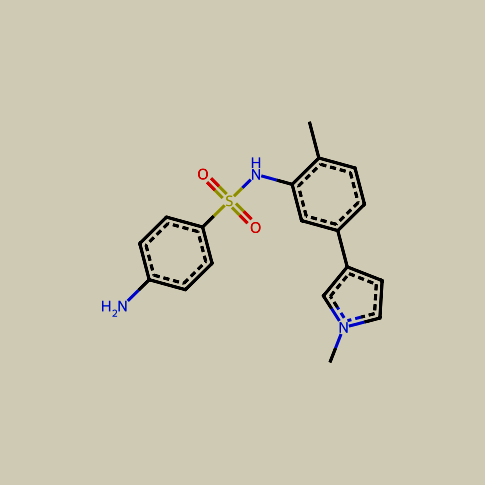 Cc1ccc(-c2ccn(C)c2)cc1NS(=O)(=O)c1ccc(N)cc1